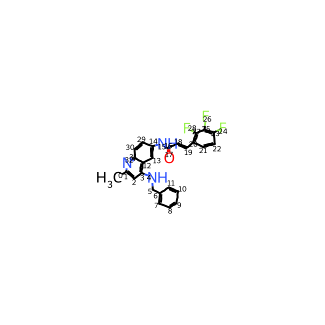 Cc1cc(NCc2ccccc2)c2cc(NC(=O)C=Cc3ccc(F)c(F)c3F)ccc2n1